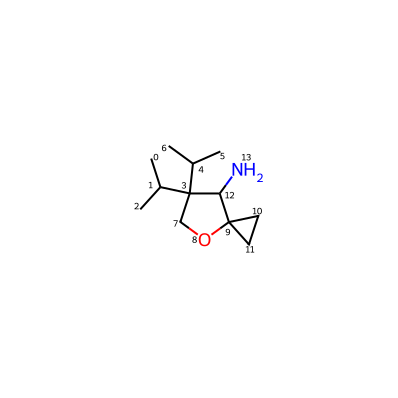 CC(C)C1(C(C)C)COC2(CC2)C1N